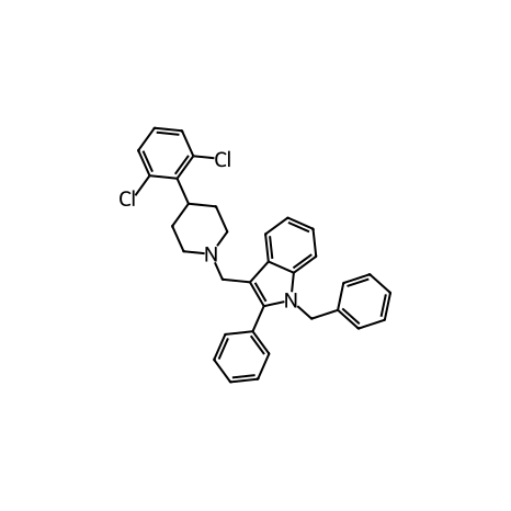 Clc1cccc(Cl)c1C1CCN(Cc2c(-c3ccccc3)n(Cc3ccccc3)c3ccccc23)CC1